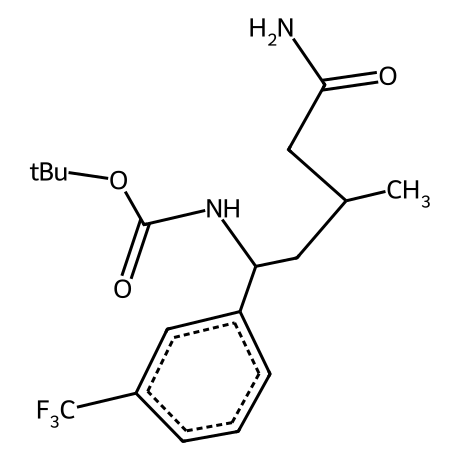 CC(CC(N)=O)CC(NC(=O)OC(C)(C)C)c1cccc(C(F)(F)F)c1